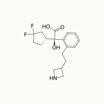 O=C(O)[C@](O)(c1ccccc1CCC1CNC1)[C@@H]1CCC(F)(F)C1